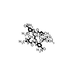 CCc1nc(C)sc1C(=O)/N=c1\sc2cc(C(N)=O)cc(OCCC(OC)OC)c2n1C/C=C/Cn1c(NC(=O)c2cc(C)nn2CC)nc2cc(C(N)=O)cc(OC)c21